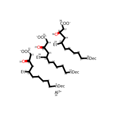 CCCCCCCCCCCCCCCC(CC)CC(=O)CC(=O)[O-].CCCCCCCCCCCCCCCC(CC)CC(=O)CC(=O)[O-].CCCCCCCCCCCCCCCC(CC)CC(=O)CC(=O)[O-].[Al+3]